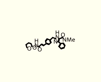 CNC(=O)c1[nH]c(Cc2ccc(/C=C/C(=O)NOC3CCCCO3)cc2)nc1-c1ccccc1